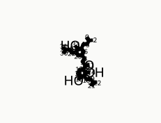 C=C(C)C=Cc1cc(C=CC(=O)c2ccc(O)c(C=CC(=C)C)c2O)cc(C=CC(=C)C)c1O